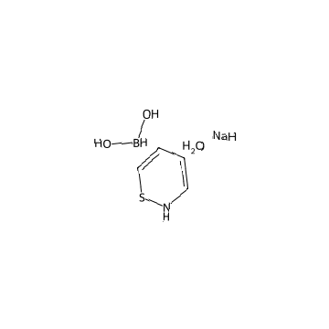 C1=CNSC=C1.O.OBO.[NaH]